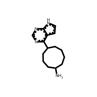 NC1CCCCC(c2ncnc3[nH]ccc23)CCC1